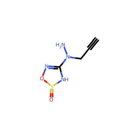 C#CCN(N)C1=NOS(=O)N1